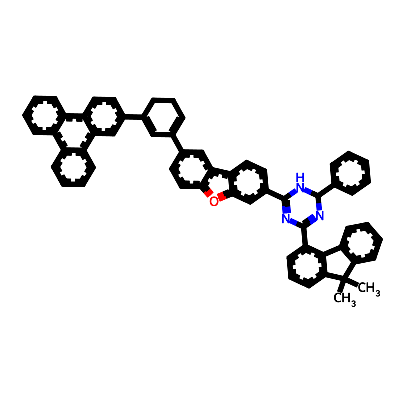 CC1(C)c2ccccc2-c2c(C3=NC(c4ccccc4)NC(c4ccc5c(c4)oc4ccc(C6=CCCC(c7ccc8c9ccccc9c9ccccc9c8c7)=C6)cc45)=N3)cccc21